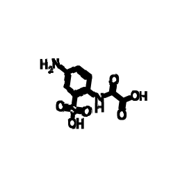 Nc1ccc(NC(=O)C(=O)O)c(S(=O)(=O)O)c1